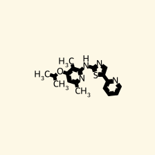 Cc1cc(OC(C)C)c(C)c(Nc2ncc(-c3ccccn3)s2)n1